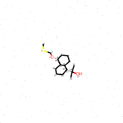 CSCO[C@@H]1CCCC2C1CCC[C@H]2C(C)(C)O